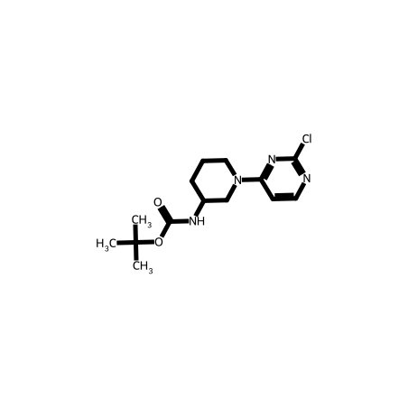 CC(C)(C)OC(=O)NC1CCCN(c2ccnc(Cl)n2)C1